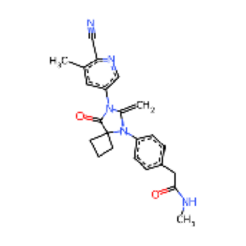 C=C1N(c2cnc(C#N)c(C)c2)C(=O)C2(CCC2)N1c1ccc(CC(=O)NC)cc1